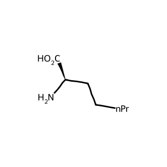 CCCCC[C@@H](N)C(=O)O